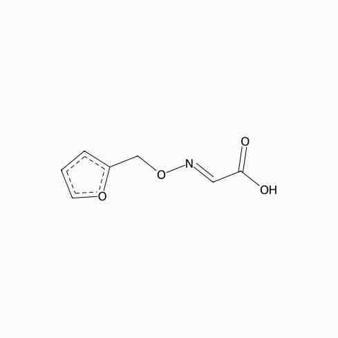 O=C(O)C=NOCc1ccco1